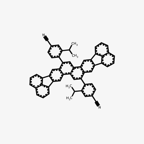 CC(C)c1cc(C#N)ccc1-c1cc2c3cc4c(cc3c(-c3ccc(C#N)cc3C(C)C)cc2c2cc3c(cc12)-c1cccc2cccc-3c12)-c1cccc2cccc-4c12